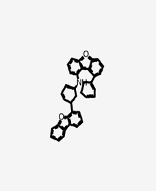 C1=CCCC(c2cccc3oc4cccc(NC5=CC=CC(c6cccc7c6oc6ccccc67)C5)c4c23)=C1